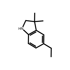 CCc1ccc2c(c1)C(C)(C)CN2